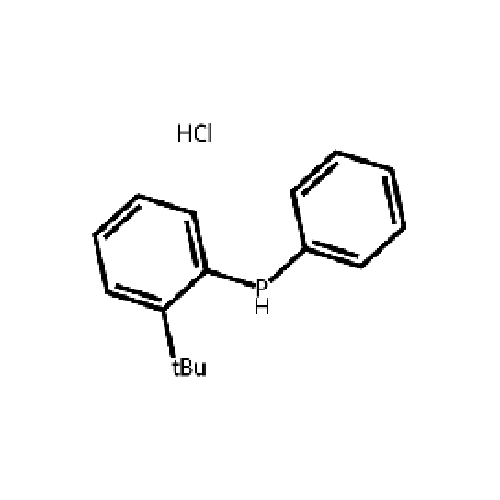 CC(C)(C)c1ccccc1Pc1ccccc1.Cl